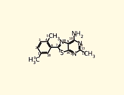 Cc1ccc(C)c(-c2nc3c(N)nc(C)nc3s2)c1